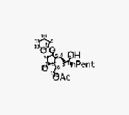 CCCCC[C@@H](O)C=C[C@@H]1[C@@H](OC2CCCCO2)CC(=O)[C@H]1CCOC(C)=O